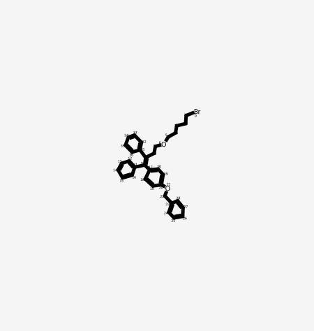 BrCCCCCOCCC(=C(c1ccccc1)c1ccc(OCc2ccccc2)cc1)c1ccccc1